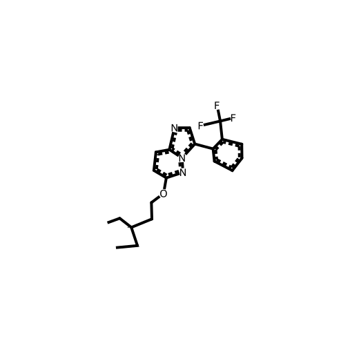 CC[C](CC)CCOc1ccc2ncc(-c3ccccc3C(F)(F)F)n2n1